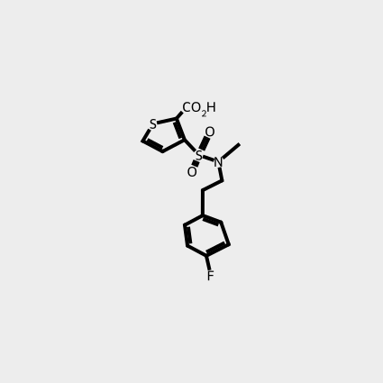 CN(CCc1ccc(F)cc1)S(=O)(=O)c1ccsc1C(=O)O